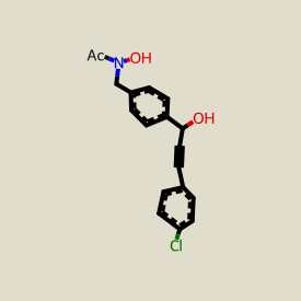 CC(=O)N(O)Cc1ccc(C(O)C#Cc2ccc(Cl)cc2)cc1